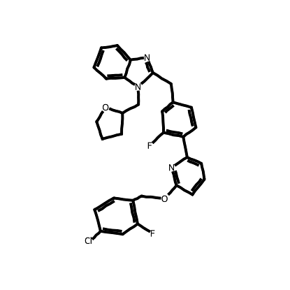 Fc1cc(Cl)ccc1COc1cccc(-c2ccc(Cc3nc4ccccc4n3CC3CCCO3)cc2F)n1